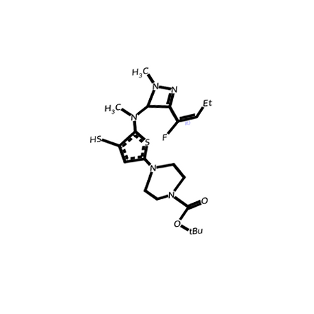 CC/C=C(/F)C1=NN(C)C1N(C)c1sc(N2CCN(C(=O)OC(C)(C)C)CC2)cc1S